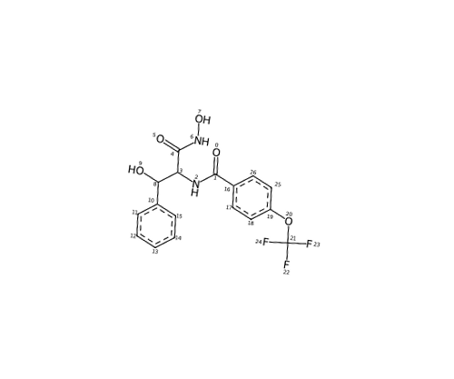 O=C(NC(C(=O)NO)C(O)c1ccccc1)c1ccc(OC(F)(F)F)cc1